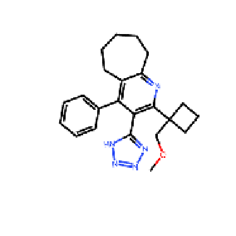 COCC1(c2nc3c(c(-c4ccccc4)c2-c2nnn[nH]2)CCCCC3)CCC1